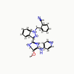 COc1cnc(-c2nn(Cc3ccccc3C#N)c3ccccc23)nc1Nc1ccncc1